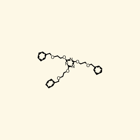 c1ccc(COCCOc2nc(OCCOCc3ccccc3)nc(OCCOCc3ccccc3)n2)cc1